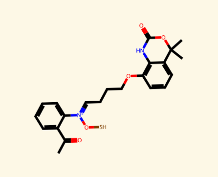 CC(=O)c1ccccc1[N+](=CCCCOc1cccc2c1NC(=O)OC2(C)C)OS